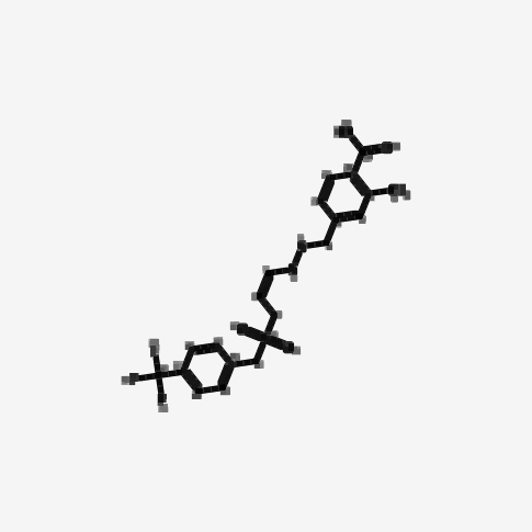 Cc1cc(CSS/C=C\CS(=O)(=O)Cc2ccc(C(F)(F)F)cc2)ccc1C(=O)O